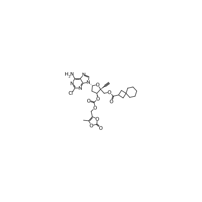 C#C[C@]1(COC(=O)C2CC3(CCCCC3)C2)O[C@@H](n2cnc3c(N)nc(Cl)nc32)C[C@@H]1OC(=O)OCc1oc(=O)oc1C